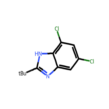 CC(C)(C)c1nc2cc(Cl)cc(Cl)c2[nH]1